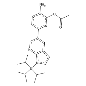 CC(=O)Oc1nc(-c2cnc3c(ccn3[Si](C(C)C)(C(C)C)C(C)C)c2)ccc1N